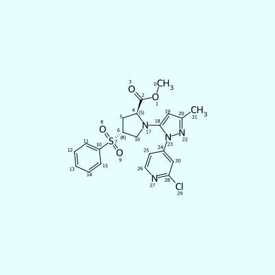 COC(=O)[C@@H]1C[C@@H](S(=O)(=O)c2ccccc2)CN1c1cc(C)nn1-c1ccnc(Cl)c1